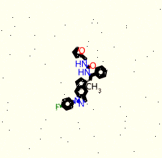 C[C@]12Cc3cnn(-c4ccc(F)cc4)c3C=C1CC[C@@H]2CC(NC(=O)NCc1ccco1)c1ccccc1